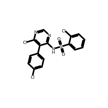 O=S(=O)(Nc1ncnc(Cl)c1-c1ccc(Cl)cc1)c1ccccc1Cl